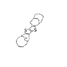 C1CCCC2CCC(CC1)Cc1c2sc2c3c(sc12)C1CCCCCC(CC1)C3